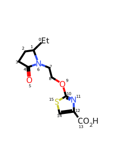 CCC1CCC(=O)N1CCOc1nc(C(=O)O)cs1